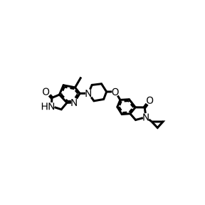 Cc1cc2c(nc1N1CCC(Oc3ccc4c(c3)C(=O)N(C3CC3)C4)CC1)CNC2=O